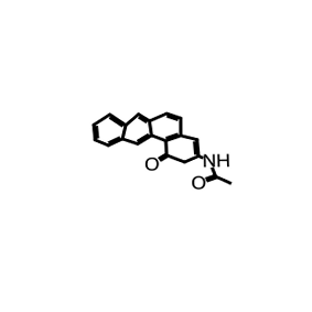 CC(=O)NC1=Cc2ccc3cc4ccccc4cc3c2C(=O)C1